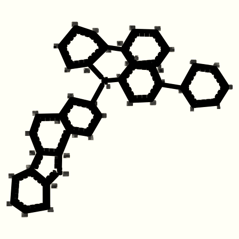 c1ccc(-c2ccc(N(c3ccc4c(ccc5c6ccccc6sc45)c3)c3ccccc3-c3ccccc3)cc2)cc1